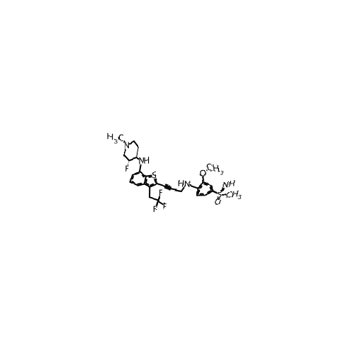 COc1cc(S(C)(=N)=O)ccc1NCC#Cc1sc2c(NC3CCN(C)C[C@H]3F)cccc2c1CC(F)(F)F